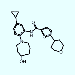 O=C(Nc1cc(C2CC2)ccc1N1CCCC(O)CC1)c1ccc(C2CCOCC2)o1